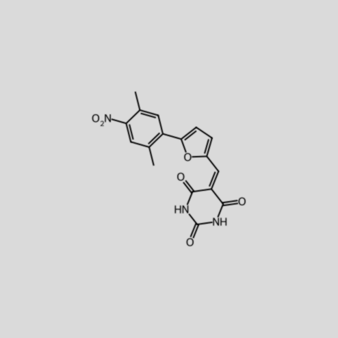 Cc1cc([N+](=O)[O-])c(C)cc1-c1ccc(C=C2C(=O)NC(=O)NC2=O)o1